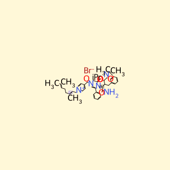 CC(C)=CCC/C(C)=C/C[n+]1ccc(C(=O)N2C=C(c3ccccc3)N([C@H](C(N)=O)C(Cc3ccccc3)C(=O)C3=NC(C)(C)CO3)C(=O)C2C(C)C)cc1.[Br-]